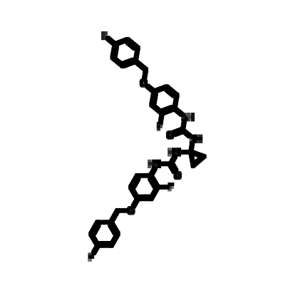 O=C(Nc1ccc(OCc2ccc(F)cc2)cc1F)NC1(NC(=O)Nc2ccc(OCc3ccc(F)cc3)cc2F)CC1